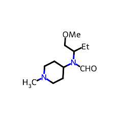 CCC(COC)N(C=O)C1CCN(C)CC1